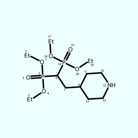 CCOP(=O)(OCC)C(CC1CCNCC1)P(=O)(OCC)OCC